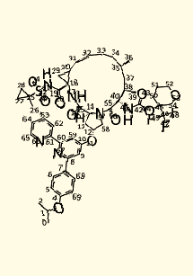 CC(C)Oc1ccc(-c2cc(O[C@@H]3C[C@H]4C(=O)N[C@]5(C(=O)NS(=O)(=O)C6(C)CC6)CC5/C=C\CC[C@@H](C)C[C@@H](C)[C@H](NC(=O)OC5(C(F)(F)F)CCCOC5)C(=O)N4C3)cc(-c3ccccn3)n2)cc1